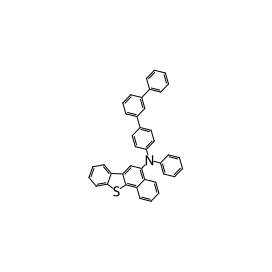 c1ccc(-c2cccc(-c3ccc(N(c4ccccc4)c4cc5c6ccccc6sc5c5ccccc45)cc3)c2)cc1